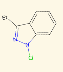 CCc1nn(Cl)c2ccccc12